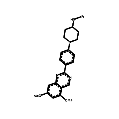 COc1cc(OC)c2cnc(-c3ccc(N4CCC(NC(C)C)CC4)cc3)nc2c1